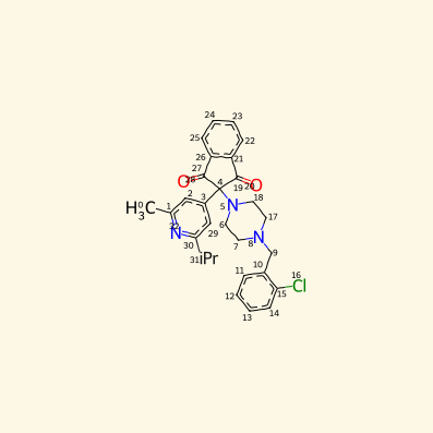 Cc1cc(C2(N3CCN(Cc4ccccc4Cl)CC3)C(=O)c3ccccc3C2=O)cc(C(C)C)n1